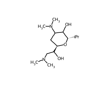 CC(C)[C@@H]1O[C@@H](C(O)CN(C)C)CC(N(C)C)C1O